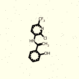 C=C(Nc1ccc(C(F)(F)F)nc1Cl)c1ccccc1O